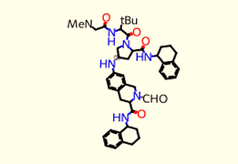 CNCC(=O)NC(C(=O)N1C[C@@H](Nc2ccc3c(c2)CN(C=O)C(C(=O)NC2CCCc4ccccc42)C3)CC1C(=O)NC1CCCc2ccccc21)C(C)(C)C